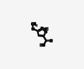 COc1cc(C(=O)O)on1.Cl